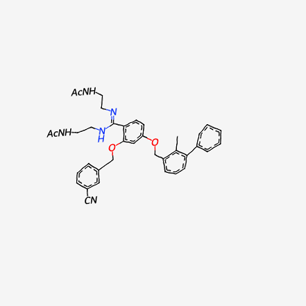 CC(=O)NCC/N=C(\NCCNC(C)=O)c1ccc(OCc2cccc(-c3ccccc3)c2C)cc1OCc1cccc(C#N)c1